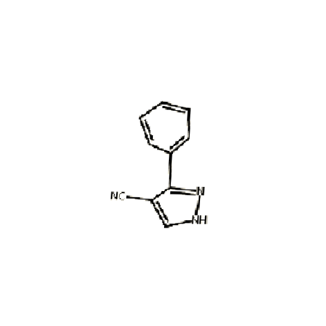 N#Cc1c[nH]nc1-c1ccccc1